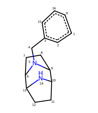 c1ccc(CN2C3CCC2C2CCC3N2)cc1